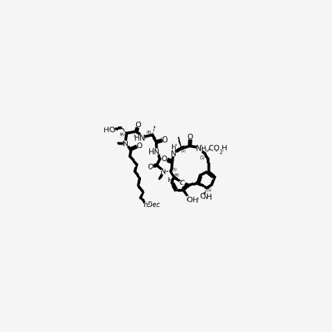 CCCCCCCCCCCCCCCCCC(=O)N(C)[C@H](CO)C(=O)N[C@H](C)C(=O)NCC(=O)N(C)[C@@H]1C(=O)N[C@@H](C)C(=O)N[C@H](C(=O)O)CC2=CC[C@H](O)C(=C2)C2=C(O)C=C[C@H]1C2